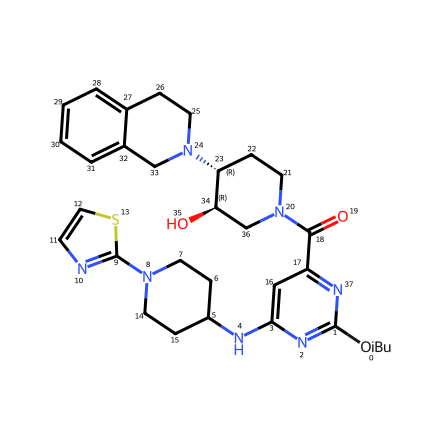 CC(C)COc1nc(NC2CCN(c3nccs3)CC2)cc(C(=O)N2CC[C@@H](N3CCc4ccccc4C3)[C@H](O)C2)n1